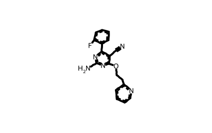 N#Cc1c(OCCc2ccccn2)nc(N)nc1-c1ccccc1F